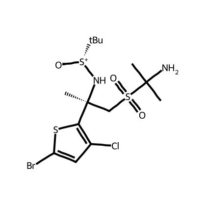 CC(C)(C)[S@@+]([O-])N[C@@](C)(CS(=O)(=O)C(C)(C)N)c1sc(Br)cc1Cl